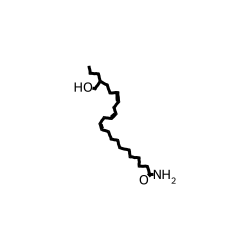 CCCC(CO)CC/C=C\C/C=C\C/C=C\CCCCCCCCCC(N)=O